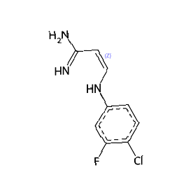 N=C(N)/C=C\Nc1ccc(Cl)c(F)c1